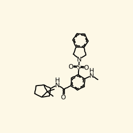 CNc1ccc(C(=O)NC2CC3CCC2C3(C)C)cc1S(=O)(=O)N1Cc2ccccc2C1